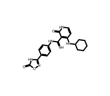 N=C(Nc1ccc(-c2noc(=O)[nH]2)cc1)c1c(NC2CCCCC2)cc[nH]c1=O